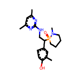 Cc1cc(C)nc(NCC(c2ccc(O)c(C)c2)P2(=O)CCCCN2C)n1